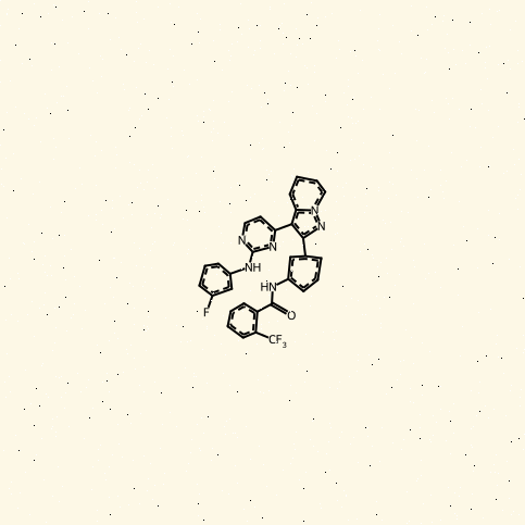 O=C(Nc1cccc(-c2nn3ccccc3c2-c2ccnc(Nc3cccc(F)c3)n2)c1)c1ccccc1C(F)(F)F